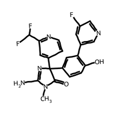 CN1C(=O)C(c2ccnc(C(F)F)c2)(c2ccc(O)c(-c3cncc(F)c3)c2)N=C1N